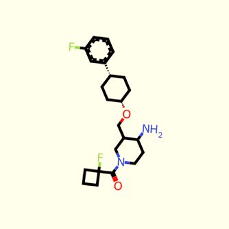 NC1CCN(C(=O)C2(F)CCC2)CC1CO[C@H]1CC[C@@H](c2cccc(F)c2)CC1